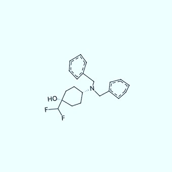 O[C@]1(C(F)F)CC[C@H](N(Cc2ccccc2)Cc2ccccc2)CC1